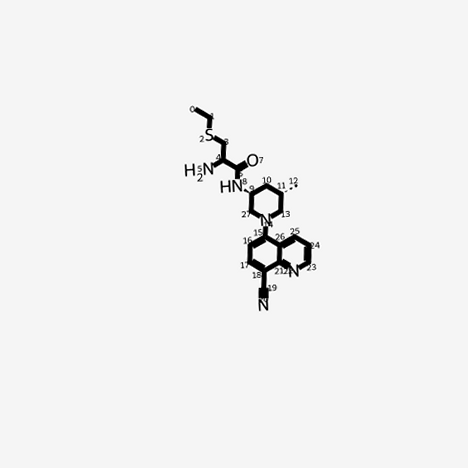 CCSCC(N)C(=O)N[C@@H]1C[C@H](C)CN(c2ccc(C#N)c3ncccc23)C1